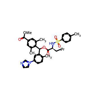 COC(=O)c1cc(C)c(C(OC(=O)[C@H](CC(C)C)NS(=O)(=O)c2ccc(C)cc2)c2cc(-n3ccnc3)ccc2C)c(C)c1